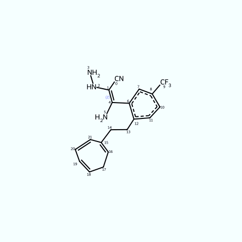 N#C/C(NN)=C(/N)c1cc(C(F)(F)F)ccc1CCC1=CCC=CC=C1